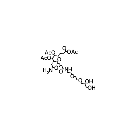 CC(=O)OC(=O)CC[C@H]1O[C@@H](OCC(=O)NCCOCCOC[C@H](O)CO)[C@H](CC(N)=O)[C@@H](OC(C)=O)[C@@H]1OC(C)=O